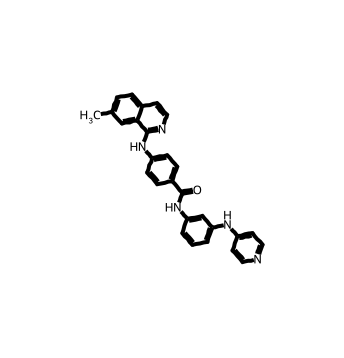 Cc1ccc2ccnc(Nc3ccc(C(=O)Nc4cccc(Nc5ccncc5)c4)cc3)c2c1